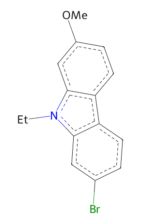 CCn1c2cc(Br)ccc2c2ccc(OC)cc21